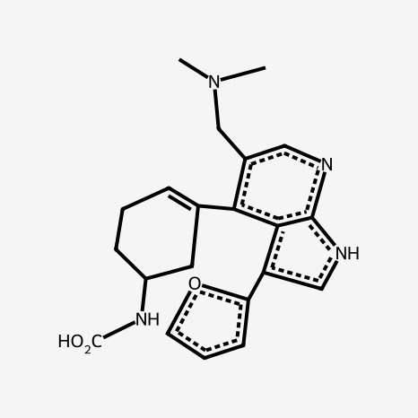 CN(C)Cc1cnc2[nH]cc(-c3ccco3)c2c1C1=CCCC(NC(=O)O)C1